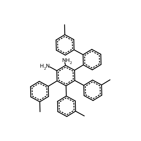 Cc1cccc(-c2ccccc2-c2c(N)c(N)c(-c3cccc(C)c3)c(-c3cccc(C)c3)c2-c2cccc(C)c2)c1